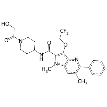 Cc1cc2c(nc1-c1ccccc1)c(OCC(F)(F)F)c(C(=O)NC1CCN(C(=O)CO)CC1)n2C